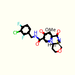 COc1c2n(cc(C(=O)NCc3ccc(F)c(Cl)c3F)c1=O)[C@H]1CCOC[C@]13SCCN3C2=O